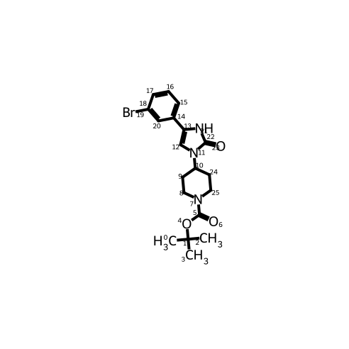 CC(C)(C)OC(=O)N1CCC(n2cc(-c3cccc(Br)c3)[nH]c2=O)CC1